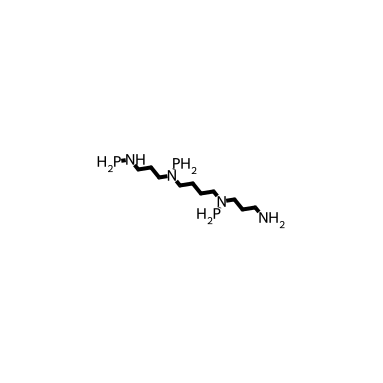 NCCCN(P)CCCCN(P)CCCNP